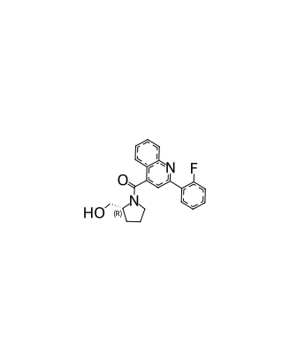 O=C(c1cc(-c2ccccc2F)nc2ccccc12)N1CCC[C@@H]1CO